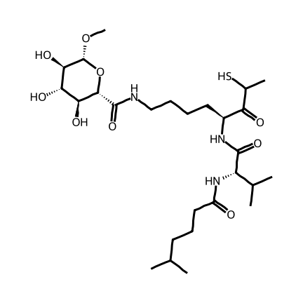 CO[C@@H]1O[C@H](C(=O)NCCCC[C@H](NC(=O)[C@@H](NC(=O)CCCC(C)C)C(C)C)C(=O)C(C)S)[C@@H](O)[C@H](O)[C@H]1O